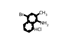 Cc1cc(Br)c2ccccc2c1N.Cl